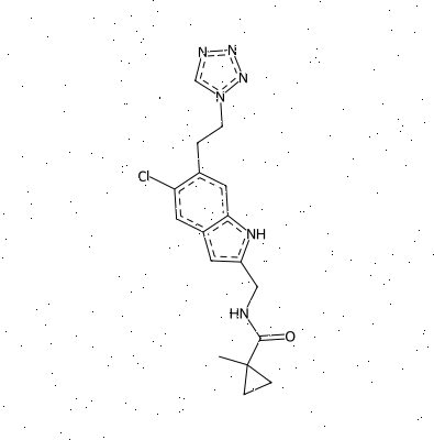 CC1(C(=O)NCc2cc3cc(Cl)c(CCn4cnnn4)cc3[nH]2)CC1